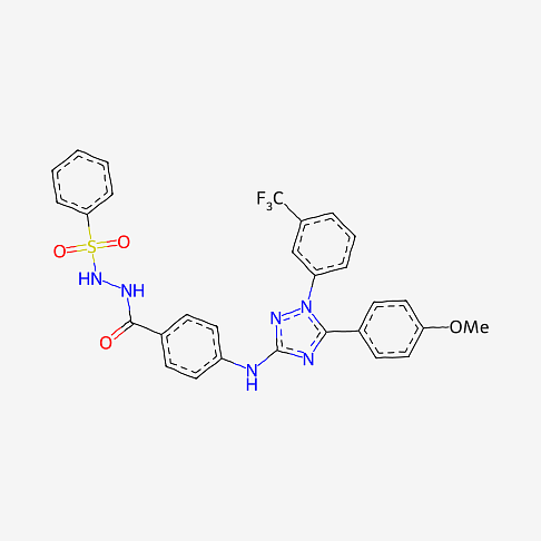 COc1ccc(-c2nc(Nc3ccc(C(=O)NNS(=O)(=O)c4ccccc4)cc3)nn2-c2cccc(C(F)(F)F)c2)cc1